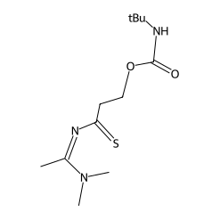 CC(=NC(=S)CCOC(=O)NC(C)(C)C)N(C)C